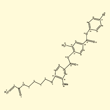 C=CC(=O)OCCCCOc1ccc(C(=O)Oc2ccc(C(=O)Oc3ccc(CC)cc3)cc2C)cc1OC